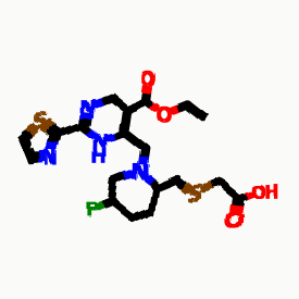 CCOC(=O)C1=C(CN2CC(F)CCC2CSCC(=O)O)NC(c2nccs2)=NC1